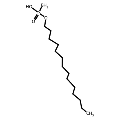 BP(=O)(O)OCCCCCCCCCCCCCC